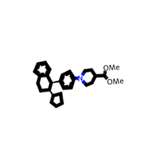 COC(OC)C1CCN(c2ccc([C@@H]3c4ccccc4CC[C@@H]3C3CCCC3)cc2)CC1